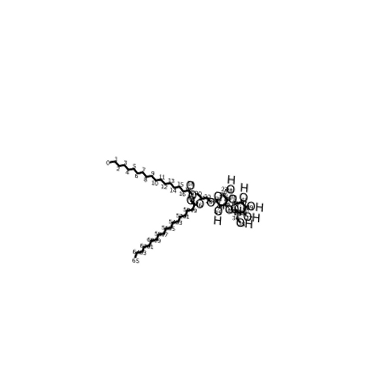 CCCCCCCCCCCCCCCCCC(=O)OCC(CO[C@@H]1O[C@H](CO)[C@@H](O[C@H]2O[C@H](CO)[C@@H](O)[C@H](O)[C@H]2O)[C@H](O)[C@H]1O)OC(=O)CCCCCCCCCCCCCCCCC